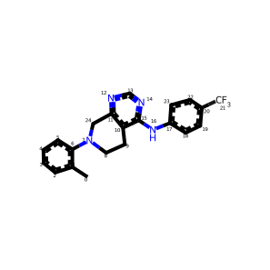 Cc1ccccc1N1CCc2c(ncnc2Nc2ccc(C(F)(F)F)cc2)C1